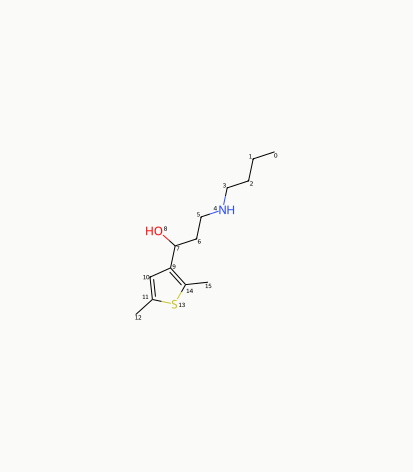 CCCCNCCC(O)c1cc(C)sc1C